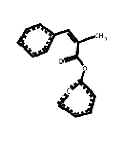 CC(=Cc1ccccc1)C(=O)Oc1ccccc1